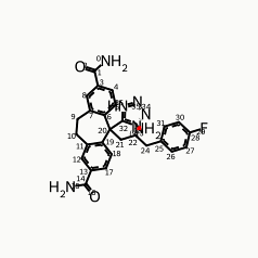 NC(=O)c1ccc2c(c1)CCc1cc(C(N)=O)ccc1C2(C[C@@H](N)Cc1ccc(F)cc1)c1nnn[nH]1